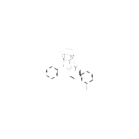 COc1ccc(C)cc1CN[C@H]1C2CCN(CC2)[C@H]1C(c1ccccc1)C1C=CC=CC1